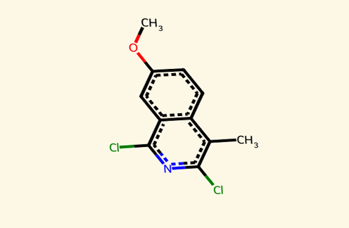 COc1ccc2c(C)c(Cl)nc(Cl)c2c1